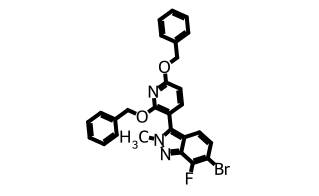 Cn1nc2c(F)c(Br)ccc2c1-c1ccc(OCc2ccccc2)nc1OCc1ccccc1